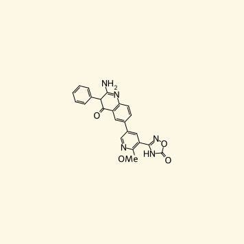 COc1ncc(-c2ccc3c(c2)C(=O)C(c2ccccc2)C(N)=N3)cc1-c1noc(=O)[nH]1